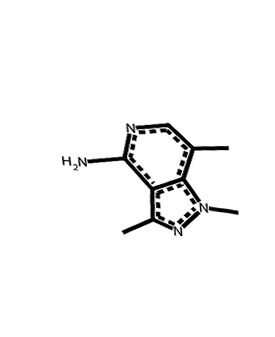 Cc1nn(C)c2c(C)cnc(N)c12